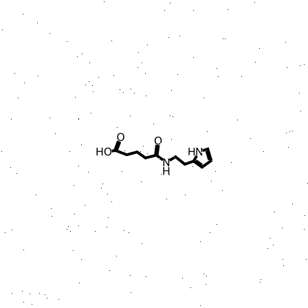 O=C(O)CCCC(=O)NCCc1ccc[nH]1